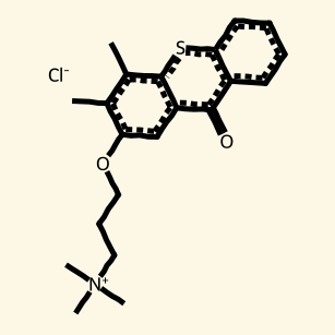 Cc1c(OCCC[N+](C)(C)C)cc2c(=O)c3ccccc3sc2c1C.[Cl-]